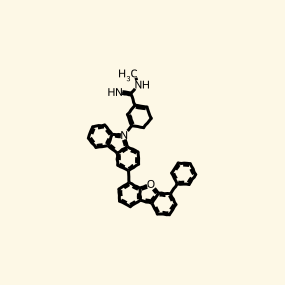 CNC(=N)C1=CCCC(n2c3ccccc3c3cc(-c4cccc5c4oc4c(-c6ccccc6)cccc45)ccc32)=C1